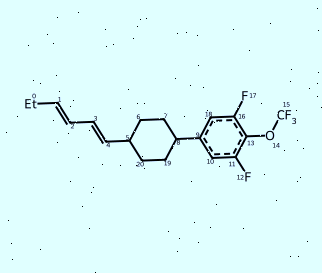 CC/C=C/C=C/C1CCC(c2cc(F)c(OC(F)(F)F)c(F)c2)CC1